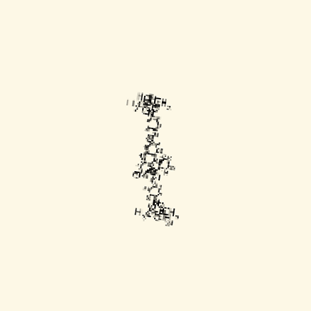 CC1(C)ON(c2ccc(COC(=O)c3ccccc3C3c4ccc(OCc5ccc(N6OC(C)(C)C(C)(C)O6)cc5)cc4OC4=CC(=O)C=CC43)cc2)OC1(C)C